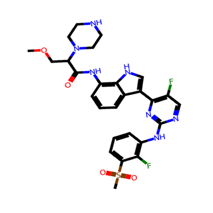 COCC(C(=O)Nc1cccc2c(-c3nc(Nc4cccc(S(C)(=O)=O)c4F)ncc3F)c[nH]c12)N1CCNCC1